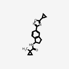 CC1(C(=O)NC2CCc3cc(-c4noc(C5CC5)n4)ccc32)CC1